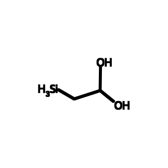 OC(O)C[SiH3]